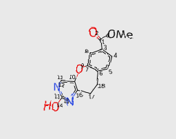 COC(=O)c1ccc2c(c1)Oc1cnc(O)nc1CC2